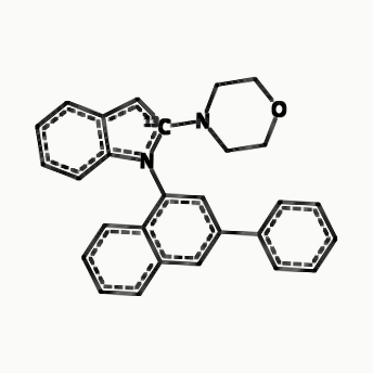 c1ccc(-c2cc(-n3c4ccccc4c[13c]3N3CCOCC3)c3ccccc3c2)cc1